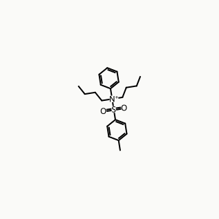 CCCC[N+](CCCC)(c1ccccc1)S(=O)(=O)c1ccc(C)cc1